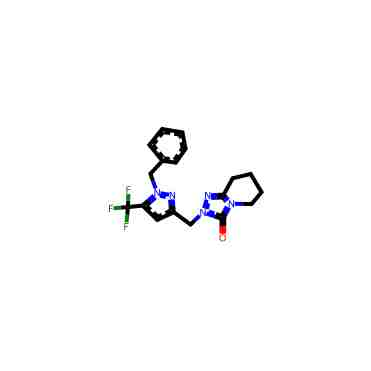 O=c1n(Cc2cc(C(F)(F)F)n(Cc3ccccc3)n2)nc2n1CCCC2